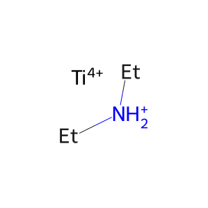 CC[NH2+]CC.[Ti+4]